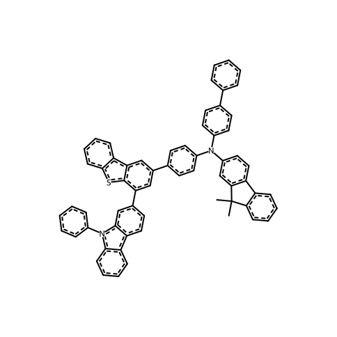 CC1(C)c2ccccc2-c2ccc(N(c3ccc(-c4ccccc4)cc3)c3ccc(-c4cc(-c5ccc6c7ccccc7n(-c7ccccc7)c6c5)c5sc6ccccc6c5c4)cc3)cc21